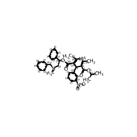 CC1=C(C(=O)OC(C)C)C(c2cccc([N+](=O)[O-])c2)C(C(=O)OC(CN(C)Cc2ccccc2)c2ccccc2)=C(C)N1